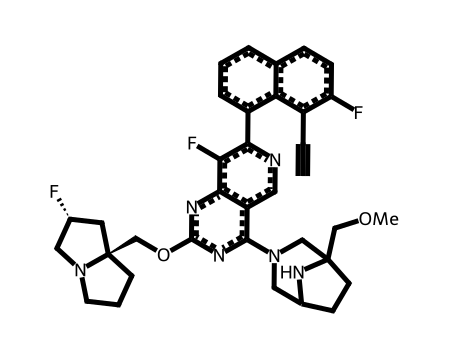 C#Cc1c(F)ccc2cccc(-c3ncc4c(N5CC6CCC(COC)(C5)N6)nc(OC[C@@]56CCCN5C[C@H](F)C6)nc4c3F)c12